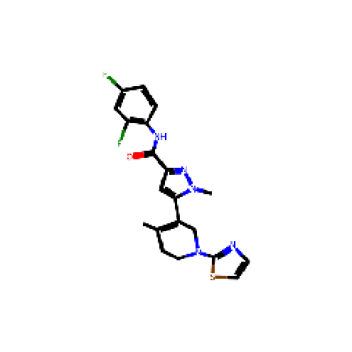 CC1=C(c2cc(C(=O)Nc3ccc(F)cc3F)nn2C)CN(c2nccs2)CC1